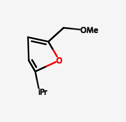 COCc1ccc(C(C)C)o1